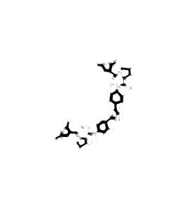 Cc1cc(C(=O)N2CCC[C@H]2C(=O)Nc2ccc(-c3cnc(-c4ccc(NC(=O)[C@@H]5CCCN5C(=O)c5cc(C)oc5C)cc4)o3)cc2)c(C)o1